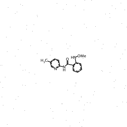 CONc1ccccc1C(=O)Nc1ccc(C)cn1